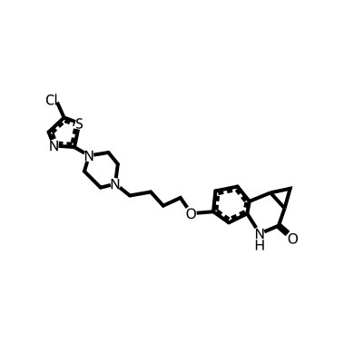 O=C1Nc2cc(OCCCCN3CCN(c4ncc(Cl)s4)CC3)ccc2C2CC12